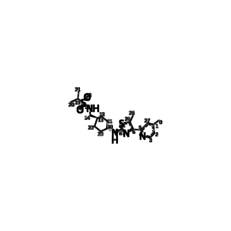 Cc1ccnc(-c2nc(N[C@H]3CC[C@H](CNS(=O)(=O)C(C)C)CC3)sc2C)c1